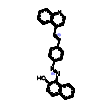 Oc1ccc2ccccc2c1/N=N/c1ccc(/C=C/c2ccnc3ccccc23)cc1